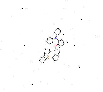 c1ccc(N(c2ccccc2)c2cccc3c2oc2c(-c4cccc5c4sc4ccccc45)c4ccccc4cc23)cc1